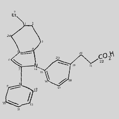 CCC1CCc2c(cc(-c3ccccc3)n2-c2cccc(CCC(=O)O)c2)C1